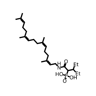 CCC(CC)C(C(=O)NCC=C(C)CCC=C(C)CCC=C(C)CCC=C(C)C)P(=O)(O)O